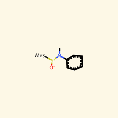 CS[S+]([O-])N(C)c1ccccc1